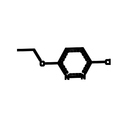 CCOc1ccc(Cl)nn1